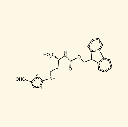 O=Cc1cnc(NCC[C@H](NC(=O)OCC2c3ccccc3-c3ccccc32)C(=O)O)s1